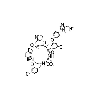 COC[C@@H]1NC(=O)[C@H](C)N(Cc2ccc(Cl)cc2Oc2ccc(-c3cnc(CN(C)C)n3C)cc2)C(=O)C[C@@H](Cc2ccccn2)C(=O)N(C)[C@H]2CCCC[C@@H]2NC(=O)C[C@H](Cc2ccc(Cl)cc2)N(C)C1=O